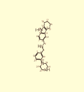 c1cc(CNCc2ccc3[nH]c4c(c3c2)CCCC4)cc(N2CCNCC2)c1